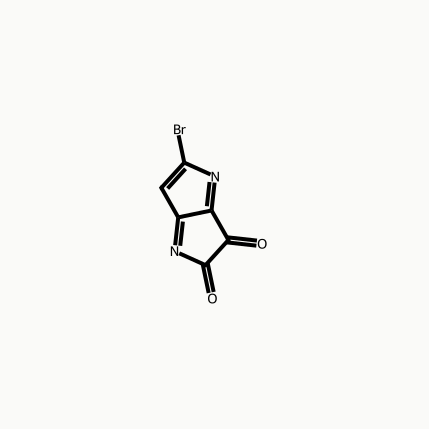 O=c1nc2cc(Br)nc-2c1=O